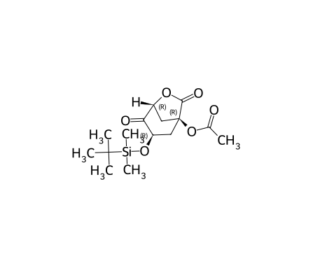 CC(=O)O[C@@]12C[C@@H](OC1=O)C(=O)[C@H](O[Si](C)(C)C(C)(C)C)C2